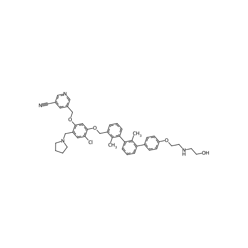 Cc1c(COc2cc(OCc3cncc(C#N)c3)c(CN3CCCC3)cc2Cl)cccc1-c1cccc(-c2ccc(OCCNCCO)cc2)c1C